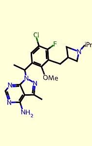 COc1c(C(C)n2nc(C)c3c(N)ncnc32)cc(Cl)c(F)c1CC1CN(C(C)C)C1